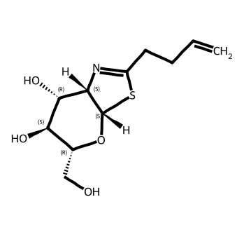 C=CCCC1=N[C@H]2[C@@H](O)[C@H](O)[C@@H](CO)O[C@H]2S1